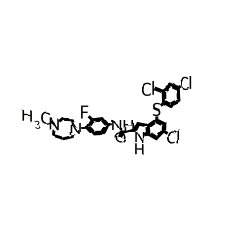 CN1CCCN(c2ccc(NC(=O)c3cc4c(Sc5ccc(Cl)cc5Cl)cc(Cl)cc4[nH]3)cc2F)CC1